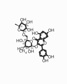 C.C[C@@H]1O[C@@H](OC[C@H]2O[C@@H](Oc3c(-c4ccc(O)c(O)c4)oc4cc(O)cc(O)c4c3=O)[C@H](O)[C@@H](O)[C@@H]2O)[C@H](O)[C@H](O)[C@H]1O